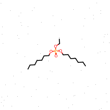 CCCCCCCOP(=O)(OCC)OCCCCCCC